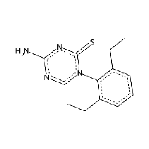 CCc1cccc(CC)c1-n1cnc(N)nc1=S